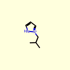 CC(C)C[n+]1ccc[nH]1